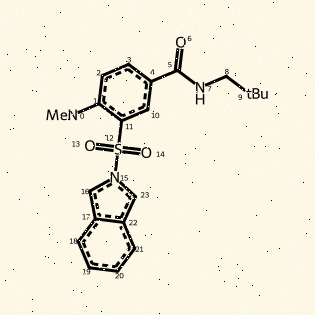 CNc1ccc(C(=O)NCC(C)(C)C)cc1S(=O)(=O)n1cc2ccccc2c1